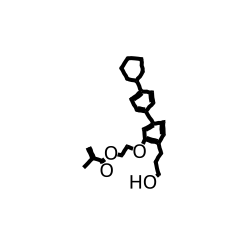 C=C(C)C(=O)OCCOc1cc(-c2ccc(C3CCCCC3)cc2)ccc1CCCO